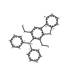 CCc1cc2c(c(CC)c1N(c1ccccc1)c1ccccc1)Cc1ccccc1-2